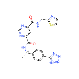 C[C@H](NC(=O)c1cc(C(=O)NCc2nccs2)ncn1)c1ccc(-c2nnn[nH]2)cc1